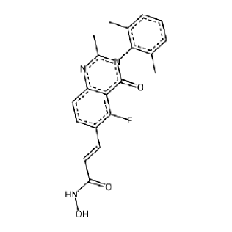 Cc1cccc(C)c1-n1c(C)nc2ccc(/C=C/C(=O)NO)c(F)c2c1=O